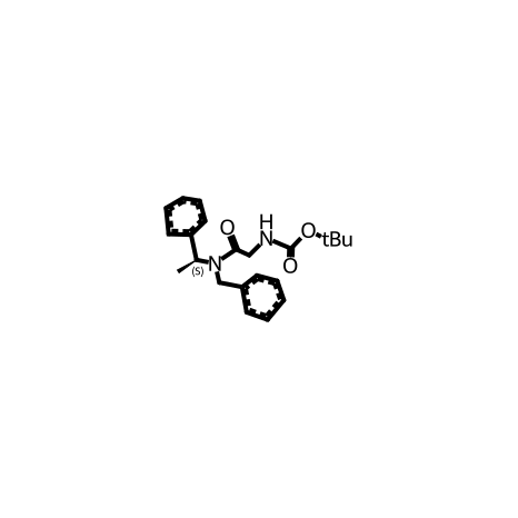 C[C@@H](c1ccccc1)N(Cc1ccccc1)C(=O)CNC(=O)OC(C)(C)C